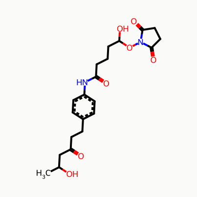 CC(O)CC(=O)CCc1ccc(NC(=O)CCCC(O)ON2C(=O)CCC2=O)cc1